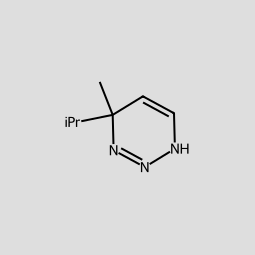 CC(C)C1(C)C=CNN=N1